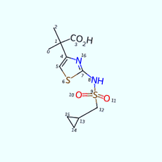 CC(C)(C(=O)O)c1csc(NS(=O)(=O)CC2CC2)n1